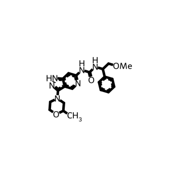 COCC(NC(=O)Nc1cc2[nH]nc(N3CCOC(C)C3)c2cn1)c1ccccc1